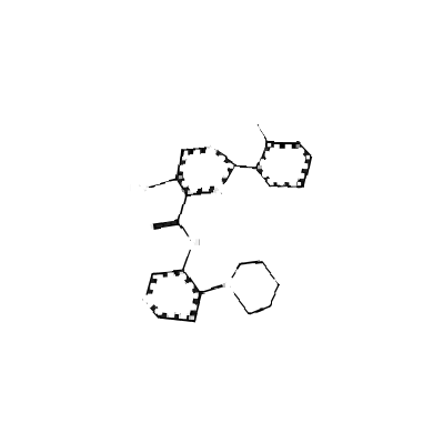 Nc1cnc(-c2ccccc2F)nc1C(=O)Nc1cnccc1N1CCCCC1